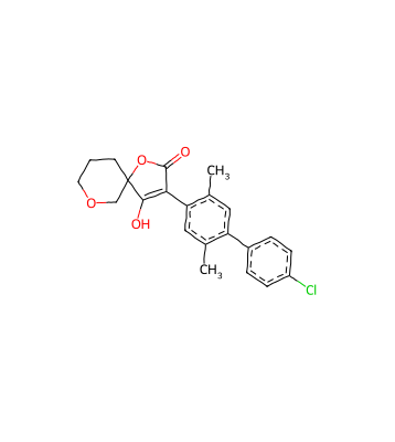 Cc1cc(-c2ccc(Cl)cc2)c(C)cc1C1=C(O)C2(CCCOC2)OC1=O